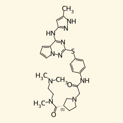 Cc1cc(Nc2nc(Sc3ccc(NC(=O)CN4CC[C@H](C(=O)N(C)CCN(C)C)C4)cc3)nn3cccc23)n[nH]1